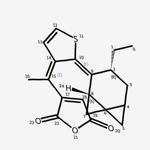 CC[C@@H]1CC2CC23C[C@@H]3/C1=c1/scc/c1=C(\C)C1=CC(=O)OC1=O